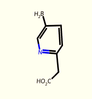 Bc1ccc(CC(=O)O)nc1